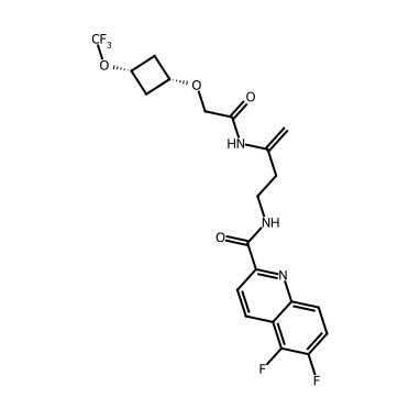 C=C(CCNC(=O)c1ccc2c(F)c(F)ccc2n1)NC(=O)CO[C@H]1C[C@@H](OC(F)(F)F)C1